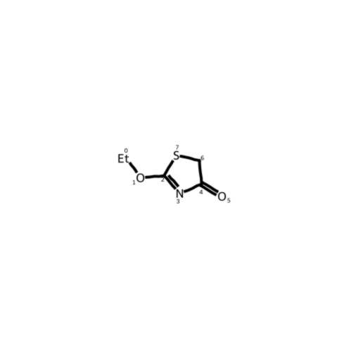 CCOC1=NC(=O)CS1